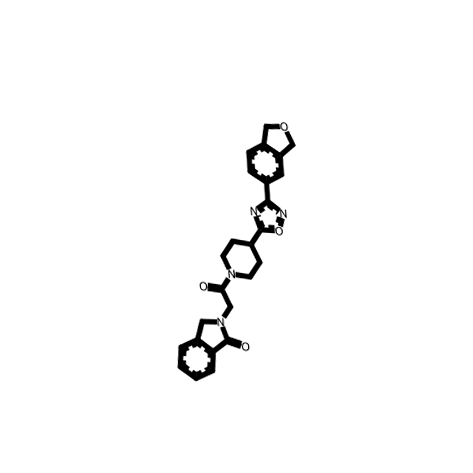 O=C(CN1Cc2ccccc2C1=O)N1CCC(c2nc(-c3ccc4c(c3)COC4)no2)CC1